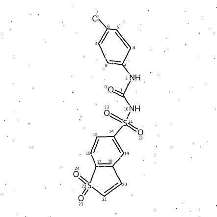 O=C(Nc1ccc(Cl)cc1)NS(=O)(=O)c1ccc2c(c1)C=CS2(=O)=O